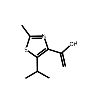 C=C(O)c1nc(C)sc1C(C)C